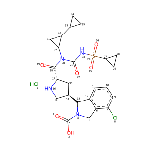 Cl.O=C(O)N1Cc2c(Cl)cccc2C1[C@H]1CN[C@H](C(=O)N(C(=O)NS(=O)(=O)C2CC2)C2CC2C2CC2)C1